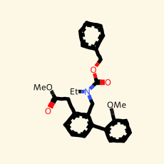 CCN(Cc1c(CC(=O)OC)cccc1-c1ccccc1OC)C(=O)OCc1ccccc1